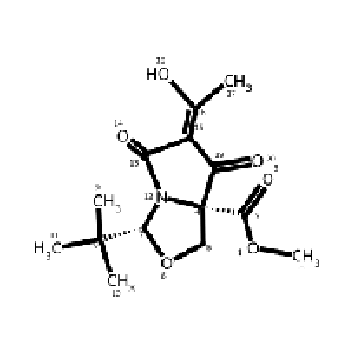 COC(=O)[C@]12CO[C@H](C(C)(C)C)N1C(=O)/C(=C(/C)O)C2=O